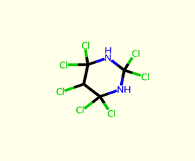 ClC1C(Cl)(Cl)NC(Cl)(Cl)NC1(Cl)Cl